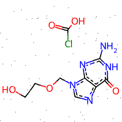 Nc1nc2c(ncn2COCCO)c(=O)[nH]1.O=C(O)Cl